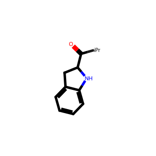 CC(C)C(=O)C1Cc2ccccc2N1